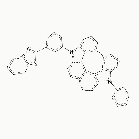 c1ccc(-n2c3cccc4c3c3c5c(ccc32)ccc2c5c3c-4cccc3n2-c2cccc(-c3nc4ccccc4s3)c2)cc1